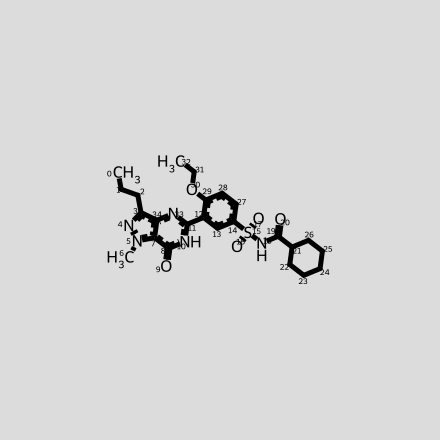 CCCc1nn(C)c2c(=O)[nH]c(-c3cc(S(=O)(=O)NC(=O)C4CCCCC4)ccc3OCC)nc12